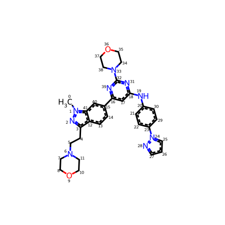 Cn1nc(CCN2CCOCC2)c2ccc(-c3cc(Nc4ccc(-n5cccn5)cc4)nc(N4CCOCC4)n3)cc21